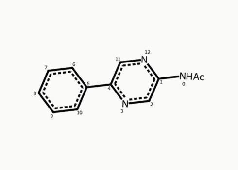 CC(=O)Nc1cnc(-c2ccccc2)cn1